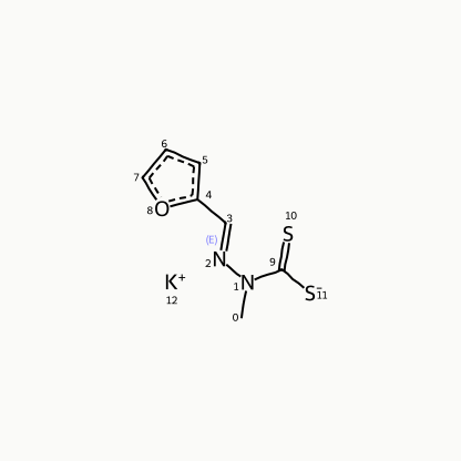 CN(/N=C/c1ccco1)C(=S)[S-].[K+]